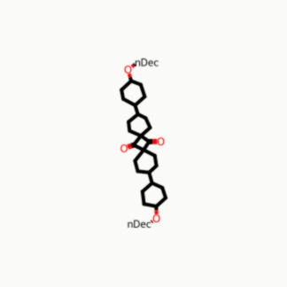 CCCCCCCCCCOC1CCC(C2CCC3(CC2)C(=O)C2(CCC(C4CCC(OCCCCCCCCCC)CC4)CC2)C3=O)CC1